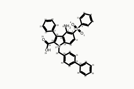 Nc1c(S(=O)(=O)c2ccccc2)ccc2c1c(-c1ccccc1)c(C(=O)O)n2Cc1ccc(-c2ccccc2)cc1